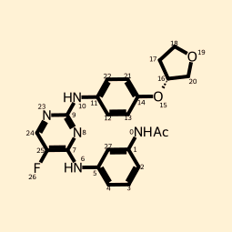 CC(=O)Nc1cccc(Nc2nc(Nc3ccc(O[C@@H]4CCOC4)cc3)ncc2F)c1